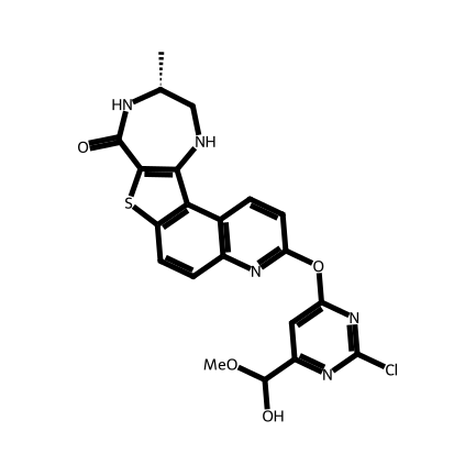 COC(O)c1cc(Oc2ccc3c(ccc4sc5c(c43)NC[C@@H](C)NC5=O)n2)nc(Cl)n1